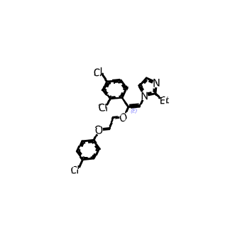 CCc1nccn1/C=C(/OCCOc1ccc(Cl)cc1)c1ccc(Cl)cc1Cl